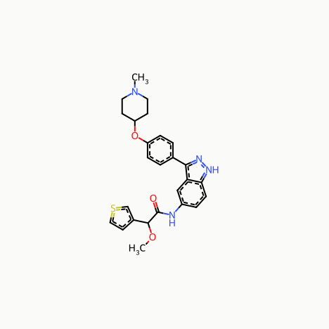 COC(C(=O)Nc1ccc2[nH]nc(-c3ccc(OC4CCN(C)CC4)cc3)c2c1)c1ccsc1